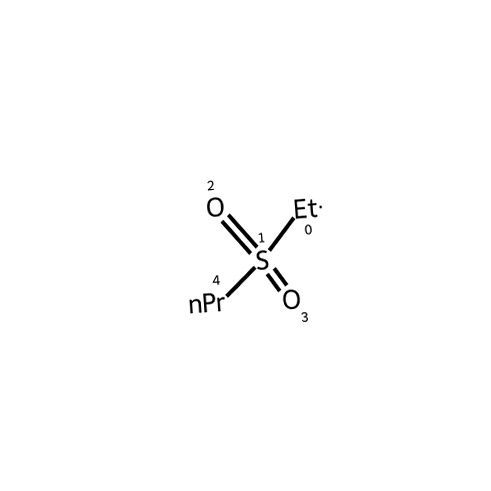 C[CH]S(=O)(=O)CCC